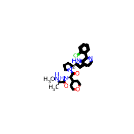 CN[C@@H](C)C(=O)N[C@H](C(=O)N1CCC[C@H]1c1cc2ccnc(-c3ccccc3Cl)c2[nH]1)C1CCOCC1